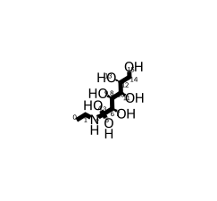 CCNC(O)(O)[C@H](O)[C@@H](O)[C@H](O)[C@H](O)CO